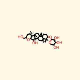 C[C@@H]1CC(CO)OC2[C@H]1C1(C)CCC34CC35CCC(OC3OC[C@@H](O)C(O)[C@H]3O)C(C)(C)[C@@H]5CCC4[C@]1(C)[C@H]2O